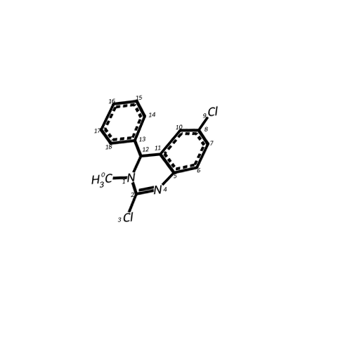 CN1C(Cl)=Nc2ccc(Cl)cc2C1c1ccccc1